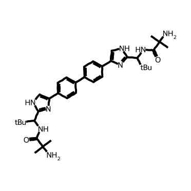 CC(C)(N)C(=O)NC(c1nc(-c2ccc(-c3ccc(-c4c[nH]c(C(NC(=O)C(C)(C)N)C(C)(C)C)n4)cc3)cc2)c[nH]1)C(C)(C)C